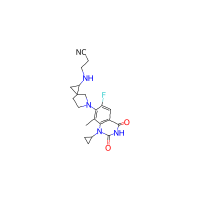 Cc1c(N2CCC3(CC3NCCC#N)C2)c(F)cc2c(=O)[nH]c(=O)n(C3CC3)c12